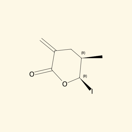 C=C1C[C@@H](C)[C@@H](I)OC1=O